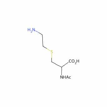 CC(=O)NC(CSCCN)C(=O)O